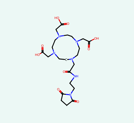 O=C(O)CN1CCN(CC(=O)O)CCN(CC(=O)NCCN2C(=O)[CH]CC2=O)CCN(CC(=O)O)CC1